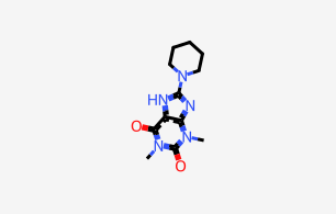 Cn1c(=O)c2[nH]c(N3CCCCC3)nc2n(C)c1=O